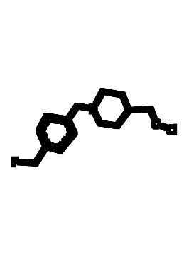 FCc1ccc(CN2CCC(COCl)CC2)cc1